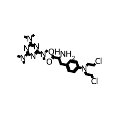 CN(C)c1nc(N(C)C)nc(N(C)C)n1.N[C@@H](Cc1ccc(N(CCCl)CCCl)cc1)C(=O)O